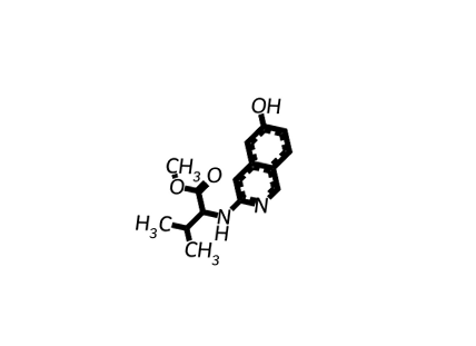 COC(=O)C(Nc1cc2cc(O)ccc2cn1)C(C)C